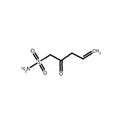 C=CCC(=O)CS(N)(=O)=O